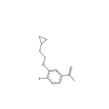 CC(=O)c1ccc(F)c(OCCC2CC2)c1